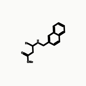 CCC(CC(=O)OC)NCc1ccc2ccccc2c1